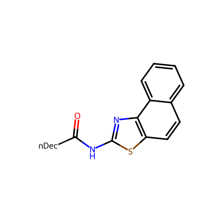 CCCCCCCCCCC(=O)Nc1nc2c(ccc3ccccc32)s1